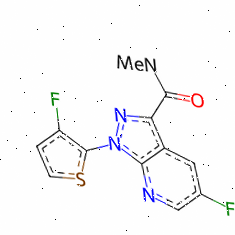 CNC(=O)c1nn(-c2sccc2F)c2ncc(F)cc12